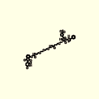 CS(=O)(=O)N1CCC(C(=O)N[C@@H](CCOCCCC(=O)NCCOCCOCCOCCNC(=O)COc2cccc3c2C(=O)N(C2CCC(=O)NC2=O)C3=O)C(=O)NC2NC(c3ccccc3)CS2)C1